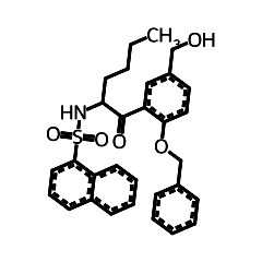 CCCCC(NS(=O)(=O)c1cccc2ccccc12)C(=O)c1cc(CO)ccc1OCc1ccccc1